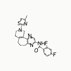 Cc1csc(N2CCC3=C(C2)c2ncc(NC(=O)c4ccc(F)cc4F)nc2CCC3)n1